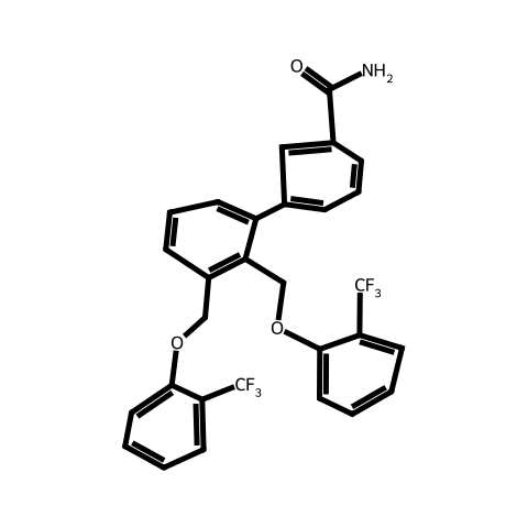 NC(=O)c1cccc(-c2cccc(COc3ccccc3C(F)(F)F)c2COc2ccccc2C(F)(F)F)c1